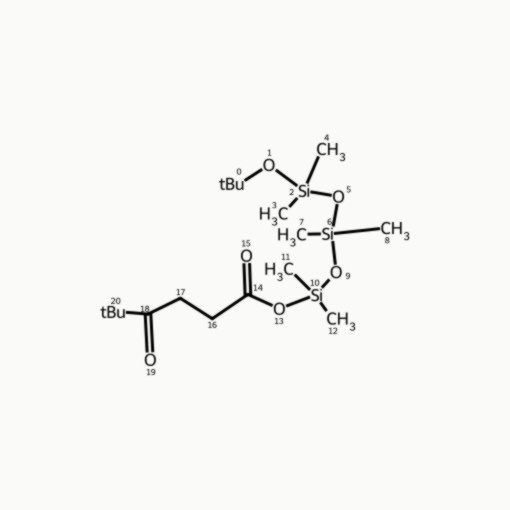 CC(C)(C)O[Si](C)(C)O[Si](C)(C)O[Si](C)(C)OC(=O)CCC(=O)C(C)(C)C